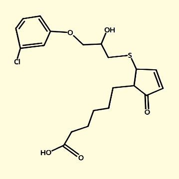 O=C(O)CCCCCC1C(=O)C=CC1SCC(O)COc1cccc(Cl)c1